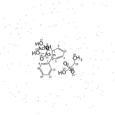 CC(=O)NC1C=CC=C[C@]1(c1ccccc1)[As](=O)(O)OO.CCS(=O)(=O)O